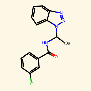 CC(C)(C)C(NC(=O)c1cccc(Cl)c1)n1nnc2ccccc21